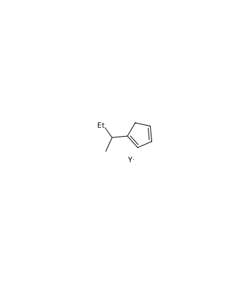 CCC(C)C1=CC=CC1.[Y]